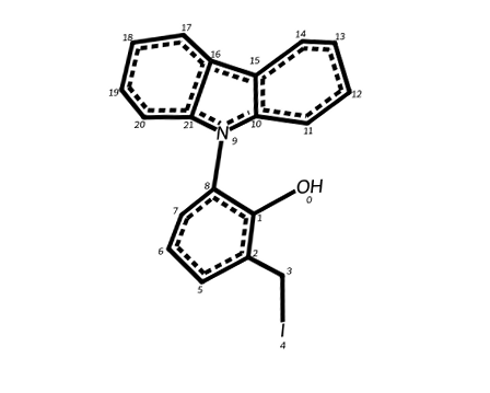 Oc1c(CI)cccc1-n1c2ccccc2c2ccccc21